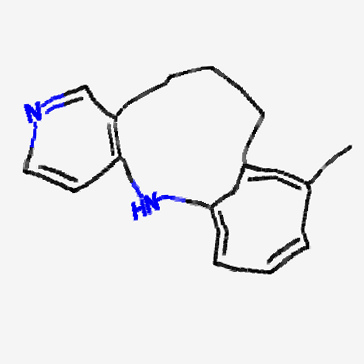 Cc1cccc2c1CCCc1cnccc1N2